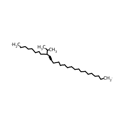 [CH2]CCCCCCCCCCCCCCCC#CC(CCCCCCC[CH2])C(C)C